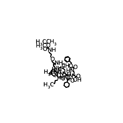 CCCC[C@@H](C(=O)N(C)[C@@H](CC(C)C)C(=O)N[C@H](C(=O)N[C@@H](CNC(=O)OCc1ccccc1)C(=O)O)C1CCCCC1)N(CC1CC1)C[C@@H](C)NC[C@@H](N)COCCCNC(=O)OC(C)(C)C